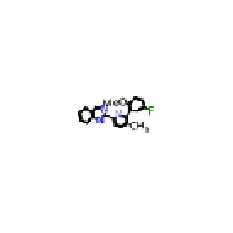 COc1ccc(F)cc1-c1nc(-c2ncc3ccccc3n2)ccc1C